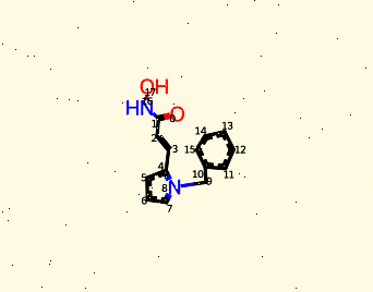 O=C(/C=C/c1cccn1Cc1ccccc1)NO